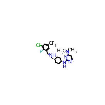 CN(C)c1ccnc(N[C@H]2CC[C@@H](CNCc3cc(C(F)(F)F)cc(Cl)c3F)CC2)n1